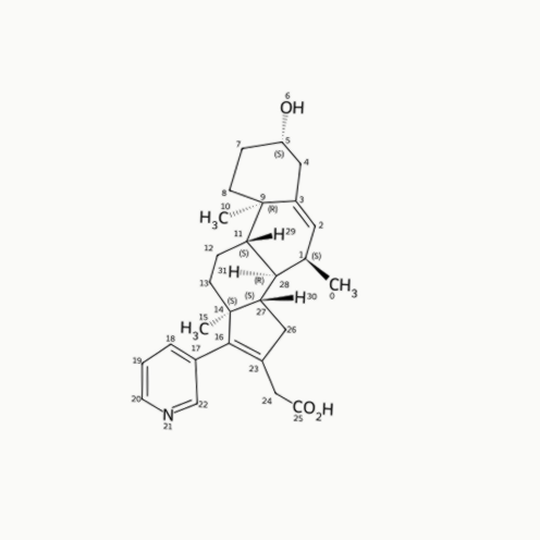 C[C@@H]1C=C2C[C@@H](O)CC[C@]2(C)[C@H]2CC[C@]3(C)C(c4cccnc4)=C(CC(=O)O)C[C@H]3[C@H]12